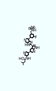 CC(C)CC(O)Nc1cncc(-c2cnc3[nH]nc(-c4nc5c(-c6cc(F)cc(CNS(C)(=O)=O)c6)cncc5[nH]4)c3c2)c1